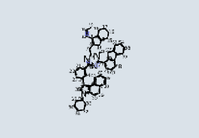 C=N/C(=N\C(=N/CCC1=C(/C=C\C)C2=C(CCCC2)C1)c1cccc(-c2cn(C3=CC=CCC3)c3ccc4ccccc4c23)c1)c1cccc2c1Cc1ccccc1-2